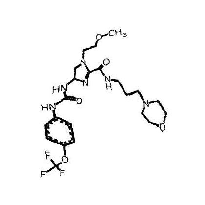 COCCN1CC(NC(=O)Nc2ccc(OC(F)(F)F)cc2)N=C1C(=O)NCCCN1CCOCC1